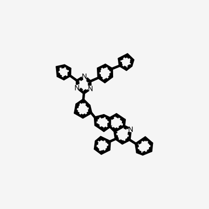 c1ccc(-c2ccc(-c3nc(-c4ccccc4)nc(-c4cccc(-c5ccc6c(ccc7nc(-c8ccccc8)cc(-c8ccccc8)c76)c5)c4)n3)cc2)cc1